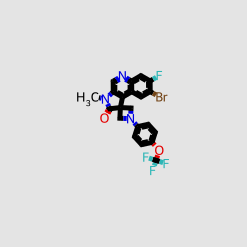 CN1C(=O)C2(CN(c3ccc(OC(F)(F)F)cc3)C2)c2c1cnc1cc(F)c(Br)cc21